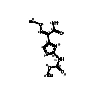 CCC(C)ON=C(C([NH])=O)c1csc(NC(=O)OC(C)(C)C)n1